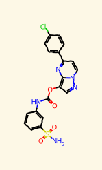 NS(=O)(=O)c1cccc(NC(=O)Oc2cnn3ccc(-c4ccc(Cl)cc4)nc23)c1